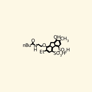 CCCCC(=O)NCCOc1c(CC)cc(S(=O)(=O)O)c2c1Cc1c(O)c(C)cc(S(=O)(=O)O)c1-2